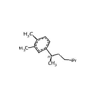 Cc1ccc([C@H](C)CCC(C)C)cc1C